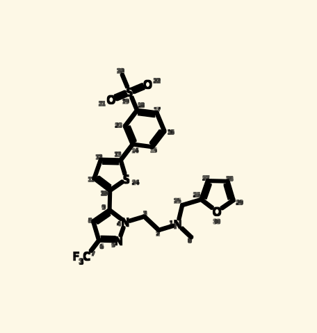 CN(CCn1nc(C(F)(F)F)cc1-c1ccc(-c2cccc(S(C)(=O)=O)c2)s1)Cc1ccco1